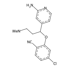 CNCCC(Oc1cc(Cl)ccc1C#N)c1ccnc(N)c1